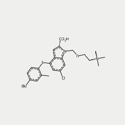 Cc1cc(C(C)(C)C)ccc1Sc1cc(Cl)cc2c1cc(C(=O)O)n2COCC[Si](C)(C)C